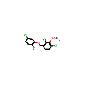 COc1c(Cl)ccc(COc2cc(Cl)ccc2Cl)c1Cl